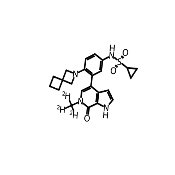 [2H]C([2H])([2H])n1cc(-c2cc(NS(=O)(=O)C3CC3)ccc2N2CC3(CCC3)C2)c2cc[nH]c2c1=O